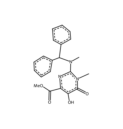 COC(=O)c1nc(N(C)C(c2ccccc2)c2ccccc2)n(C)c(=O)c1O